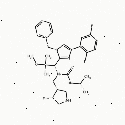 [CH2][C@@H](C)NC(=O)N(C[C@@H]1CNC[C@@H]1F)[C@@H](c1nc(-c2cc(F)ccc2F)cn1Cc1ccccc1)C(C)(C)OC